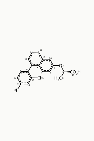 C[C@@H](Oc1ccc2c(-c3ccc(F)cc3Cl)ccnc2c1)C(=O)O